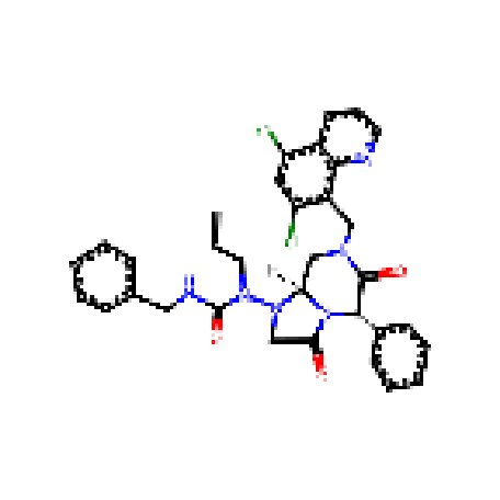 C=CCN(C(=O)NCc1ccccc1)N1CC(=O)N2[C@@H](c3ccccc3)C(=O)N(Cc3c(Cl)cc(Cl)c4cccnc34)C[C@@H]21